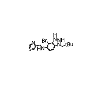 CC(C)(C)CN1NNc2c1ccc(NCc1cscn1)c2Br